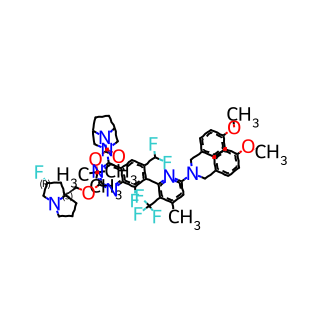 COc1ccc(CN(Cc2ccc(OC)cc2)c2cc(C)c(C(F)(F)F)c(-c3c(C(F)F)cc4c(N5CC6CCC(C5)N6C(=O)OC(C)(C)C)nc(OC[C@@]56CCCN5C[C@H](F)C6)nc4c3F)n2)cc1